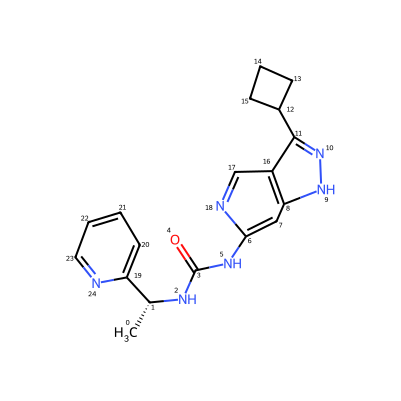 C[C@@H](NC(=O)Nc1cc2[nH]nc(C3CCC3)c2cn1)c1ccccn1